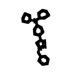 c1ccc(Cn2cc(-c3ccc(N(c4ccccc4)c4ccccc4)cc3)nn2)cc1